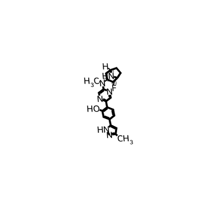 Cc1cc(-c2ccc(-c3cnc(N(C)[C@H]4C[C@@H]5CCC(N5)[C@H]4F)cn3)c(O)c2)[nH]n1